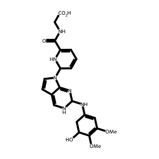 COC1=C(OC)C(O)CC(NC2N=c3c(ccn3C3C=CC=C(C(=O)NCC(=O)O)N3)=CN2)=C1